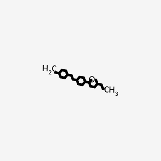 C=CC1CCC(CCC2CCC(C3CCC(CCC)CO3)CC2)CC1